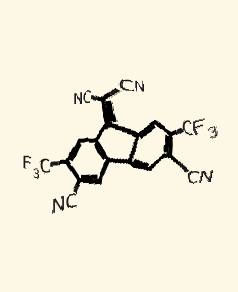 N#CC(C#N)=C1c2cc(C(F)(F)F)c(C#N)cc2-c2cc(C#N)c(C(F)(F)F)cc21